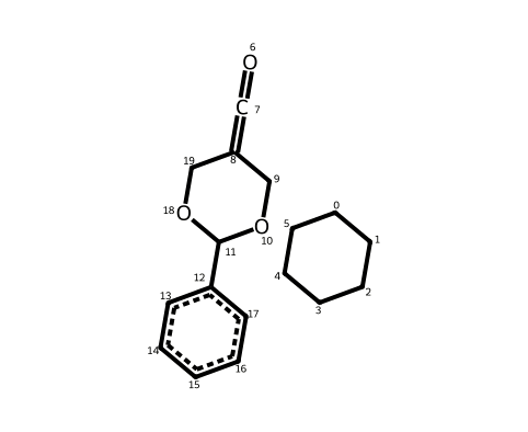 C1CCCCC1.O=C=C1COC(c2ccccc2)OC1